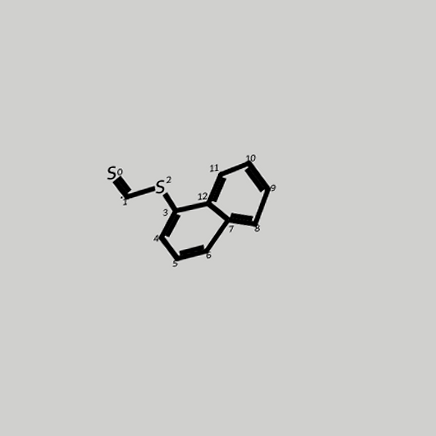 S=[C]Sc1cccc2ccccc12